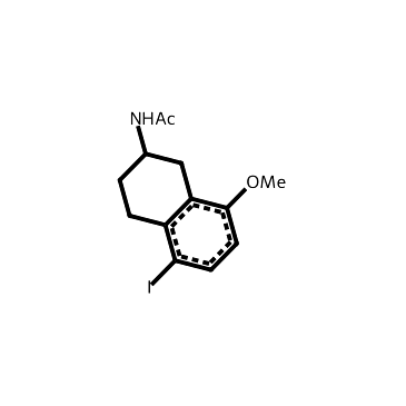 COc1ccc(I)c2c1CC(NC(C)=O)CC2